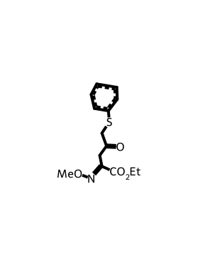 CCOC(=O)/C(CC(=O)CSc1ccccc1)=N/OC